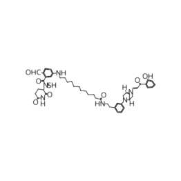 O=Cc1ccc(NCCCCCCCCCCCC(=O)NCCc2cccc(N3C[C@H]4C[C@@H]3CN4/C=C/C(=O)c3ccccc3O)c2)cc1C(=O)N(S)C1CCC(=O)NC1=O